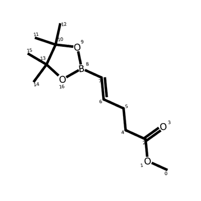 COC(=O)CC/C=C/B1OC(C)(C)C(C)(C)O1